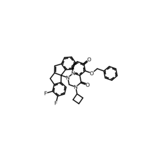 O=C1c2c(OCc3ccccc3)c(=O)ccn2N(C23C(=Cc4ccccc42)Cc2c3ccc(F)c2F)CN1C1CCC1